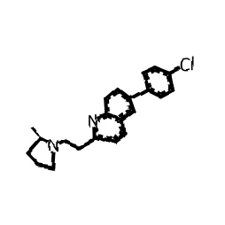 C[C@@H]1CCCN1CCc1ccc2cc(-c3ccc(Cl)cc3)ccc2n1